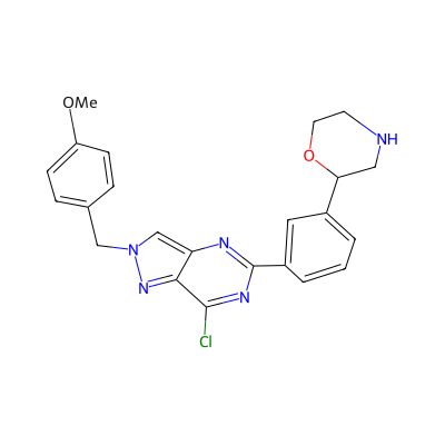 COc1ccc(Cn2cc3nc(-c4cccc(C5CNCCO5)c4)nc(Cl)c3n2)cc1